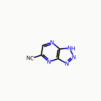 N#Cc1cnc2[nH]nnc2n1